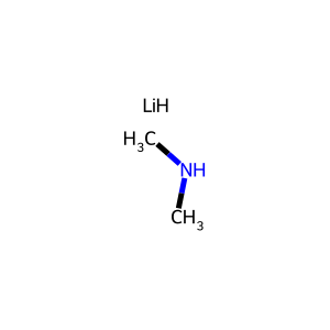 CNC.[LiH]